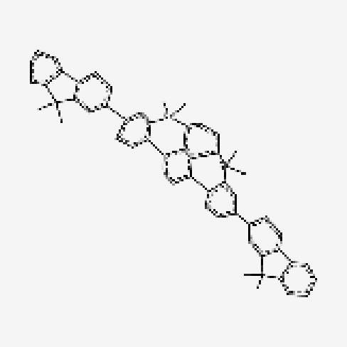 CC1(C)c2ccccc2-c2ccc(-c3ccc4c(c3)[Si](C)(C)c3ccc5c6c(ccc-4c36)-c3ccc(-c4ccc6c(c4)C(C)(C)c4ccccc4-6)cc3[Si]5(C)C)cc21